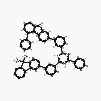 CC1(C)c2ccccc2-c2cc(-c3cccc(-c4nc(-c5ccccc5)nc(-c5cccc(-c6ccc7c(c6)oc6cccc(-c8ccccc8)c67)c5)n4)c3)ccc21